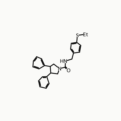 CCSc1ccc(CNC(=O)N2CC(c3ccccc3)C(c3ccccc3)C2)cc1